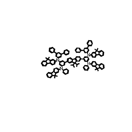 CC(C)C1(C(C)C)c2cc(-c3cc(N(c4ccccc4)c4ccc5c(c4)C(C)(C)c4ccccc4-5)cc(N(c4cc(-c5ccccc5)cc(-c5ccccc5)c4)c4ccc5c(c4)C(C)(C)c4ccccc4-5)c3)ccc2-c2ccc(-c3cc(N(c4ccccc4)c4ccc5c(c4)C(C)(C)c4ccccc4-5)cc(N(c4cc(-c5ccccc5)cc(-c5ccccc5)c4)c4ccc5c(c4)C(C)(C)c4ccccc4-5)c3)cc21